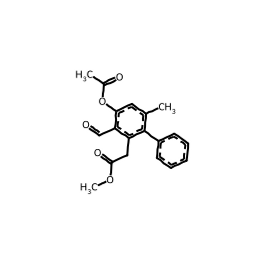 COC(=O)Cc1c(C=O)c(OC(C)=O)cc(C)c1-c1ccccc1